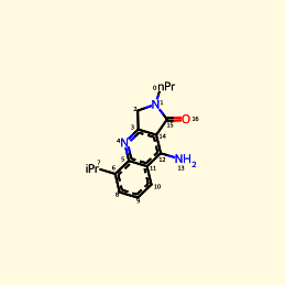 CCCN1Cc2nc3c(C(C)C)cccc3c(N)c2C1=O